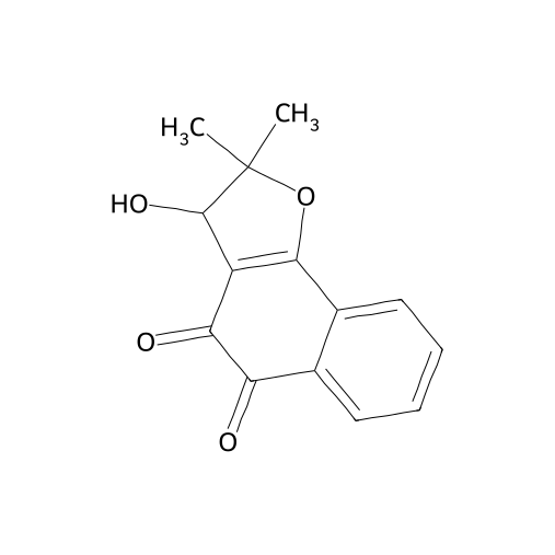 CC1(C)OC2=C(C(=O)C(=O)c3ccccc32)C1O